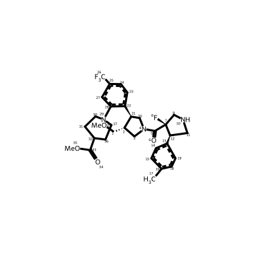 COC[C@H]1CN(C(=O)[C@]2(F)CNC[C@H]2c2ccc(C)cc2)C[C@@H]1c1ccc(C(F)(F)F)cc1N1CCC(C(=O)OC)CC1